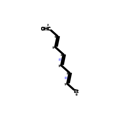 CC/C=C/C=C/C=CC=O